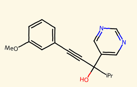 COc1cccc(C#CC(O)(c2cncnc2)C(C)C)c1